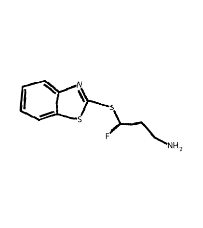 NCCC(F)Sc1nc2ccccc2s1